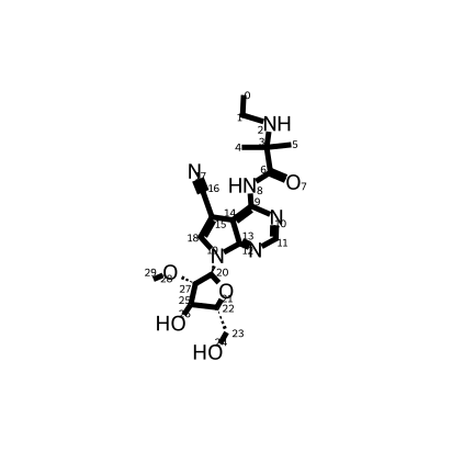 CCNC(C)(C)C(=O)Nc1ncnc2c1c(C#N)cn2[C@@H]1O[C@H](CO)C(O)[C@@H]1OC